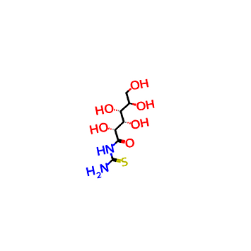 NC(=S)NC(=O)[C@H](O)[C@@H](O)[C@H](O)[C@H](O)CO